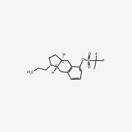 CCCN1CC[C@H]2Cc3c(cccc3OS(=O)(=O)C(F)(F)F)C[C@@H]21